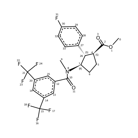 COC(=O)[C@H]1CC[C@@H](N(C)C(=O)c2cc(C(F)(F)F)cc(C(F)(F)F)c2)[C@@H]1c1ccc(F)cc1